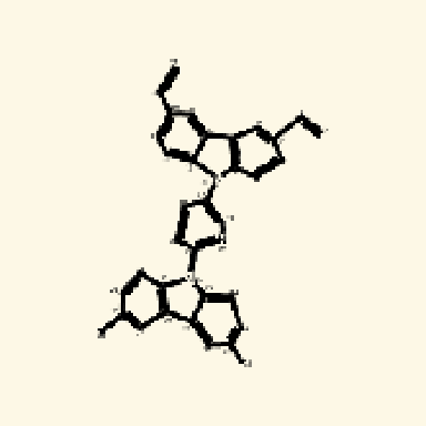 C=Cc1ccc2c(c1)c1cc(C=C)ccc1n2-c1ccc(-n2c3ccc(C)cc3c3cc(C)ccc32)nc1